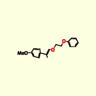 COc1ccc(C(C)=COCCOc2ccccc2)cc1